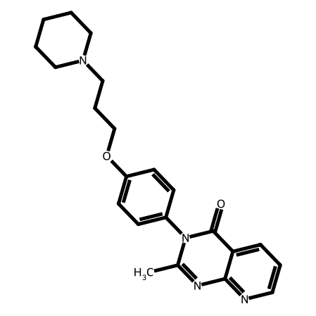 Cc1nc2ncccc2c(=O)n1-c1ccc(OCCCN2CCCCC2)cc1